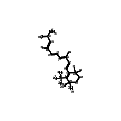 [2H]C([2H])([2H])C1=C(C=CC(C)=CC=CC(C)=CC(N)=O)C(C)(C)CCC1([2H])[2H]